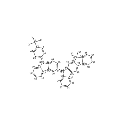 CC(C)(C)c1ccc(-n2c3ccccc3c3cc(-n4c5ccccc5c5cc6c(cc54)C(C)(C)c4ccccc4-6)ccc32)cc1